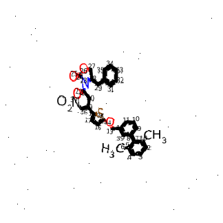 Cc1cccc(C)c1-c1cccc(COc2ccc(C(CC(=O)N3C(=O)OCC3Cc3ccccc3)C[N+](=O)[O-])s2)c1